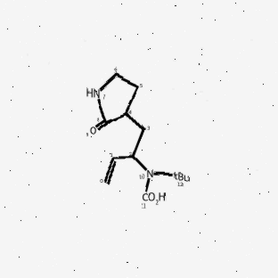 C=CC(CC1CCNC1=O)N(C(=O)O)C(C)(C)C